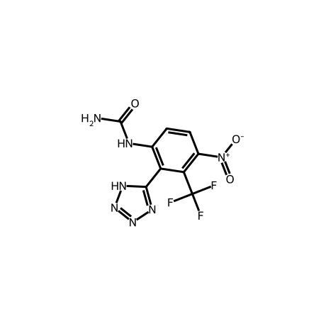 NC(=O)Nc1ccc([N+](=O)[O-])c(C(F)(F)F)c1-c1nnn[nH]1